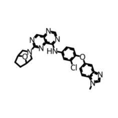 Cn1cnc2cc(Oc3ccc(Nc4ncnc5cnc(N6CC7CCC(C6)O7)nc45)cc3Cl)ccc21